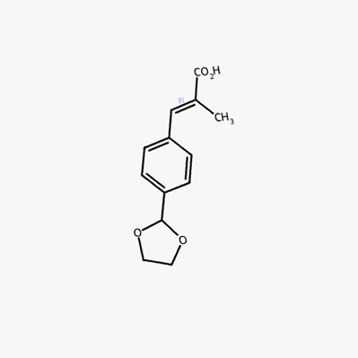 C/C(=C\c1ccc(C2OCCO2)cc1)C(=O)O